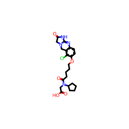 O=C(O)CN(C(=O)CCCCOc1ccc2c(c1Cl)CN1CC(=O)NC1=N2)C1CCCC1